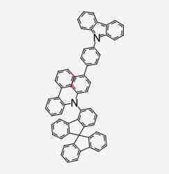 c1ccc(-c2ccccc2N(c2ccc(-c3ccc(-n4c5ccccc5c5ccccc54)cc3)cc2)c2cccc3c2-c2ccccc2C32c3ccccc3-c3ccccc32)cc1